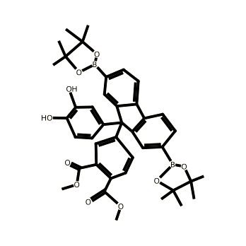 COC(=O)c1ccc(C2(c3ccc(O)c(O)c3)c3cc(B4OC(C)(C)C(C)(C)O4)ccc3-c3ccc(B4OC(C)(C)C(C)(C)O4)cc32)cc1C(=O)OC